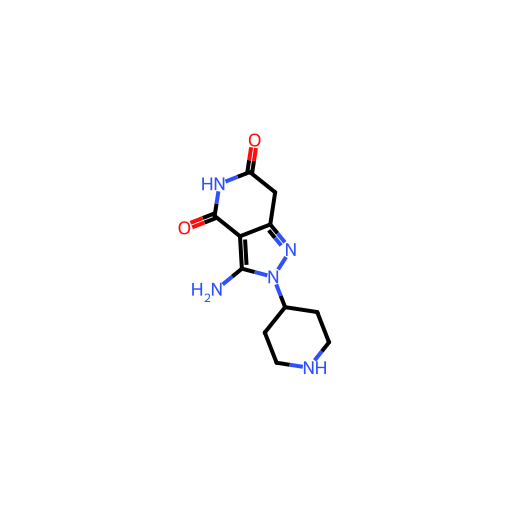 Nc1c2c(nn1C1CCNCC1)CC(=O)NC2=O